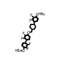 CCCCOc1ccc(-c2ccc(OCC3CCC(c4ccc(OCCCC)c(F)c4F)CC3)c(F)c2F)c(F)c1F